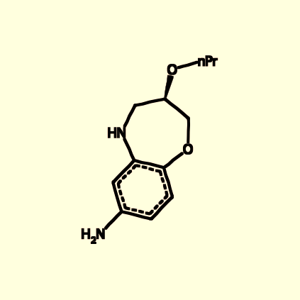 CCCO[C@@H]1CNc2cc(N)ccc2OC1